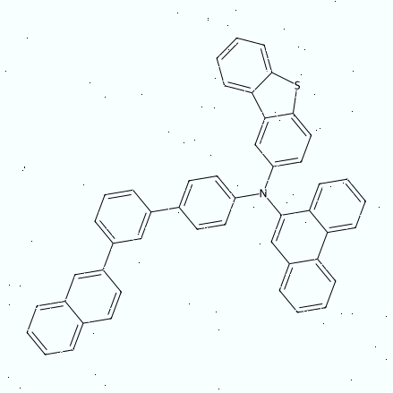 c1cc(-c2ccc(N(c3ccc4sc5ccccc5c4c3)c3cc4ccccc4c4ccccc34)cc2)cc(-c2ccc3ccccc3c2)c1